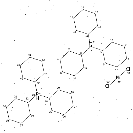 C1CCC([PH+](C2CCCCC2)C2CCCCC2)CC1.C1CCC([PH+](C2CCCCC2)C2CCCCC2)CC1.[Cl][Ni][Cl]